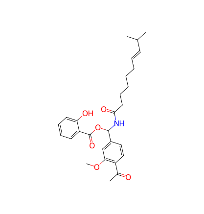 COc1cc(C(NC(=O)CCCCC/C=C/C(C)C)OC(=O)c2ccccc2O)ccc1C(C)=O